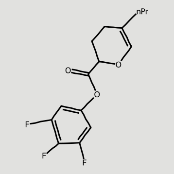 CCCC1=COC(C(=O)Oc2cc(F)c(F)c(F)c2)CC1